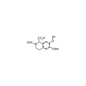 COc1cc2c(cc1OC(C)C)C(C(=O)O)N(C=O)CC2